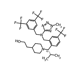 CC(C)[C@@H](c1ccc(C(F)(F)F)cc1CN(Cc1cc(C(F)(F)F)cc(C(F)(F)F)c1)c1nnn(C)n1)N1CCC(CCO)CC1